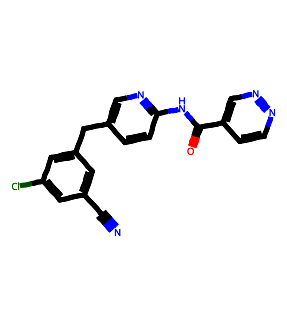 N#Cc1cc(Cl)cc(Cc2ccc(NC(=O)c3ccnnc3)nc2)c1